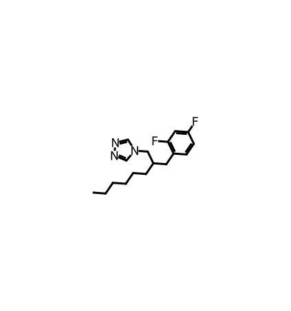 CCCCCCC(Cc1ccc(F)cc1F)Cn1cnnc1